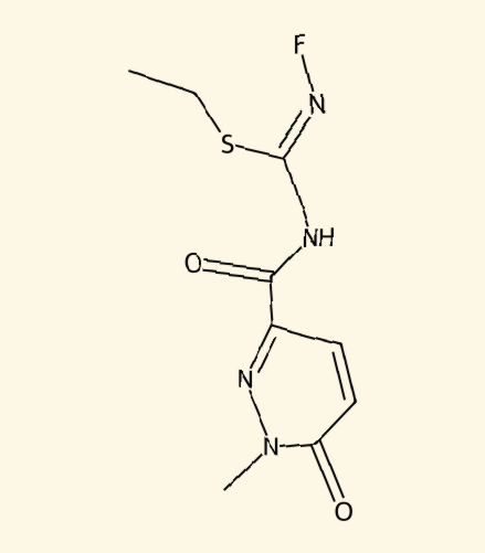 CCS/C(=N\F)NC(=O)c1ccc(=O)n(C)n1